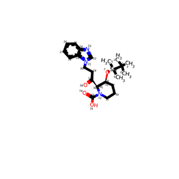 CC(C)(C)[Si](C)(C)O[C@H]1CCCN(C(=O)O)[C@H]1C(=O)CCn1cnc2ccccc21